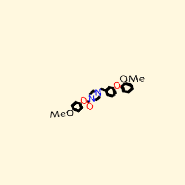 COc1ccc(OC(=O)N2CCN(Cc3cccc(Oc4ccccc4OC)c3)CC2)cc1